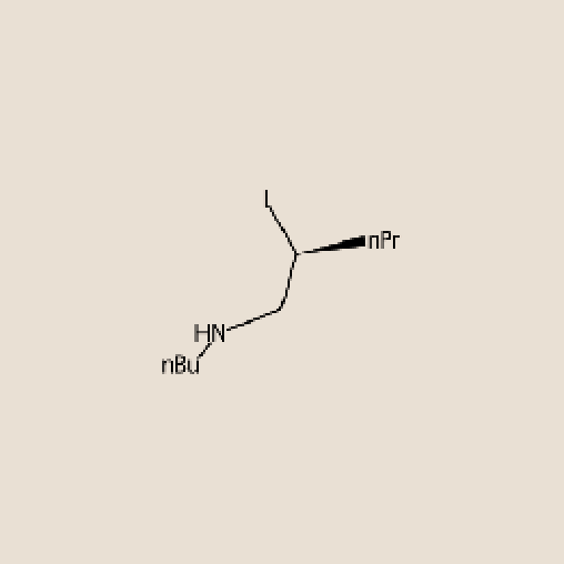 CCCCNC[C@@H](I)CCC